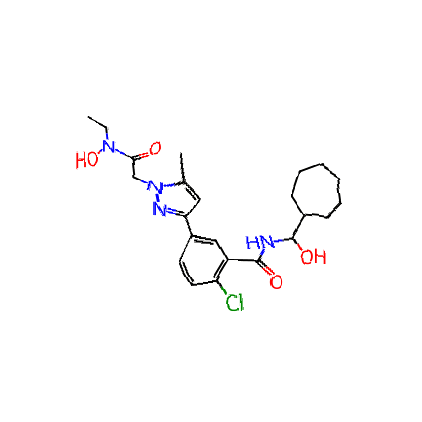 CCN(O)C(=O)Cn1nc(-c2ccc(Cl)c(C(=O)NC(O)C3CCCCCC3)c2)cc1C